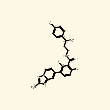 Nc1nc2cc(-c3ccc(Cl)c(C(=O)NCC[C@H](O)c4ccc(Cl)cc4)c3F)ccn2n1